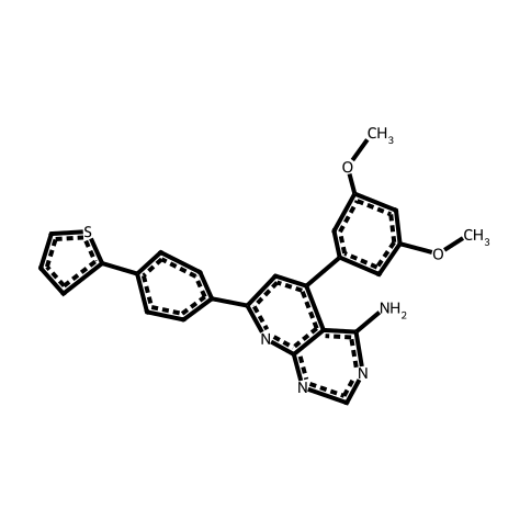 COc1cc(OC)cc(-c2cc(-c3ccc(-c4cccs4)cc3)nc3ncnc(N)c23)c1